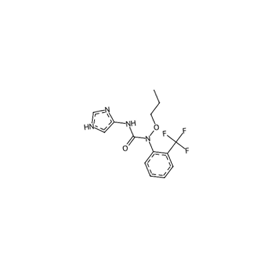 CCCON(C(=O)Nc1c[nH]cn1)c1ccccc1C(F)(F)F